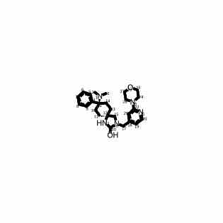 CN(C)[C@]1(c2ccccc2)CC[C@]2(CC1)CN(Cc1ccnc(N3CCOCC3)c1)C(O)N2